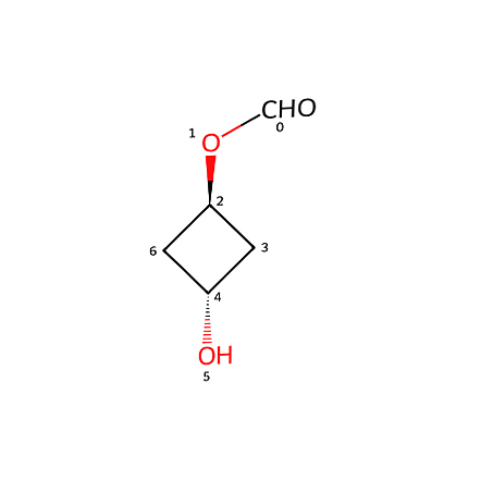 O=CO[C@H]1C[C@H](O)C1